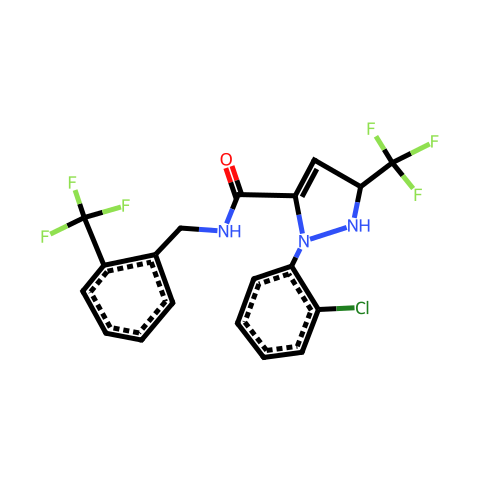 O=C(NCc1ccccc1C(F)(F)F)C1=CC(C(F)(F)F)NN1c1ccccc1Cl